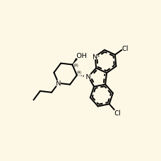 CCCN1CC[C@@H](O)[C@H](n2c3ccc(Cl)cc3c3cc(Cl)cnc32)C1